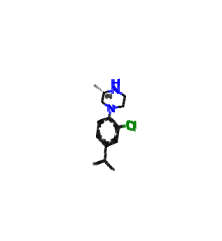 CC(C)c1ccc(N2CCN[C@@H](C)C2)c(Cl)c1